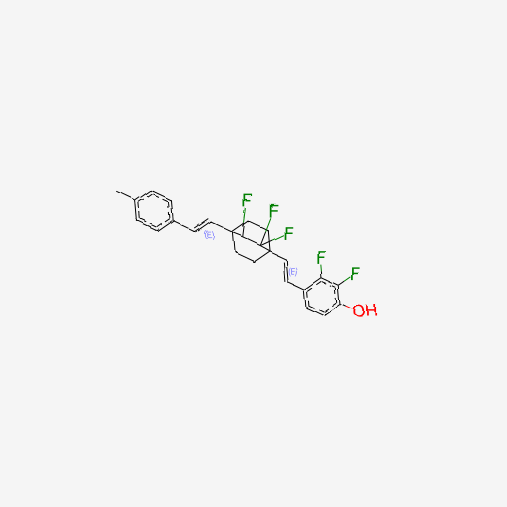 Cc1ccc(/C=C/C23CCC(/C=C/c4ccc(O)c(F)c4F)(CC2)C(F)(F)C3F)cc1